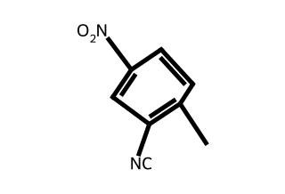 [C-]#[N+]c1cc([N+](=O)[O-])ccc1C